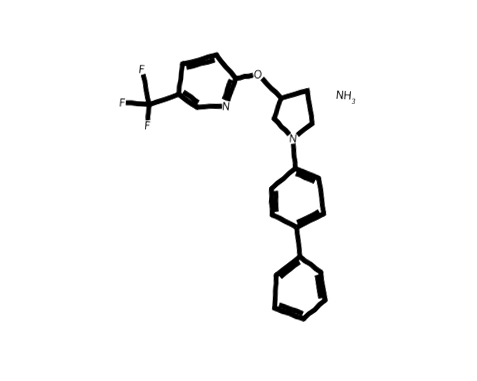 FC(F)(F)c1ccc(OC2CCN(c3ccc(-c4ccccc4)cc3)C2)nc1.N